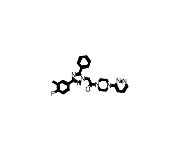 Cc1cc(-c2nc(-c3ccccc3)n(CC(=O)N3CCN(c4cccnn4)CC3)n2)ccc1F